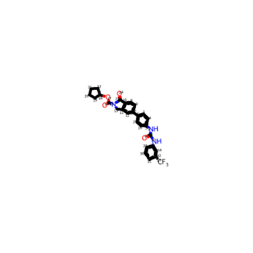 O=C(Nc1ccc(-c2ccc3c(c2)CN(C(=O)OC2CCCC2)C3=O)cc1)Nc1cccc(C(F)(F)F)c1